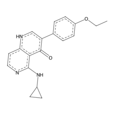 CCOc1ccc(-c2c[nH]c3ccnc(NC4CC4)c3c2=O)cc1